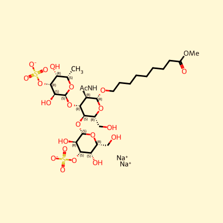 COC(=O)CCCCCCCCO[C@@H]1O[C@H](CO)[C@@H](O[C@@H]2O[C@H](CO)[C@H](O)[C@H](OS(=O)(=O)[O-])[C@H]2O)[C@H](O[C@@H]2O[C@@H](C)[C@@H](O)[C@@H](OS(=O)(=O)[O-])[C@@H]2O)[C@H]1NC(C)=O.[Na+].[Na+]